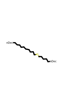 CCCCCCCCCCCCCCCCCCC[CH]SCCCCCCCCCCCCCCC